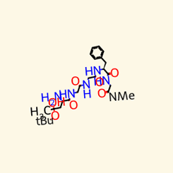 CNC(=O)CNC(=O)[C@H](Cc1ccccc1)NC(=O)CNC(=O)CNC(=O)[C@@H](N)CC(C)(O)OC(C)(C)C